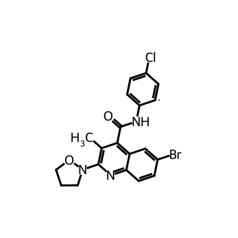 Cc1c(N2CCCO2)nc2ccc(Br)cc2c1C(=O)Nc1[c]cc(Cl)cc1